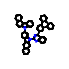 c1ccc2cc3c(cc2c1)c1ccc(-n2c4ccccc4c4c5ccccc5ccc42)cc1n3-c1nc(-c2ccc3c4ccccc4c4ccccc4c3c2)c2ccccc2n1